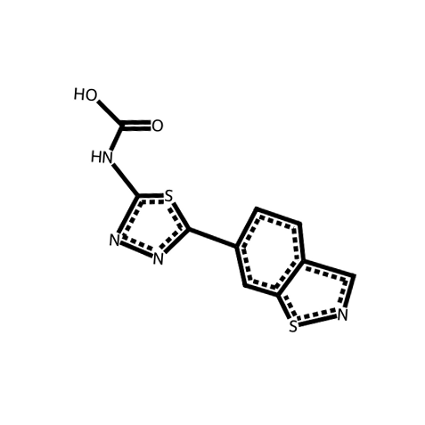 O=C(O)Nc1nnc(-c2ccc3cnsc3c2)s1